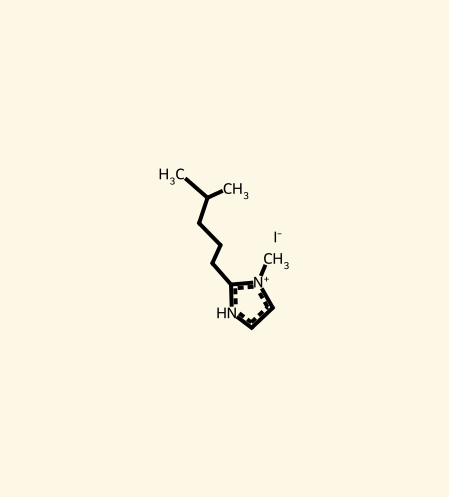 CC(C)CCCc1[nH]cc[n+]1C.[I-]